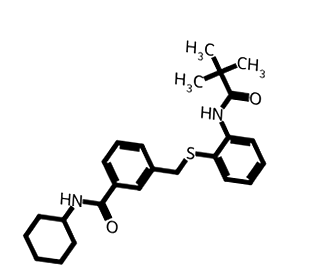 CC(C)(C)C(=O)Nc1ccccc1SCc1cccc(C(=O)NC2CCCCC2)c1